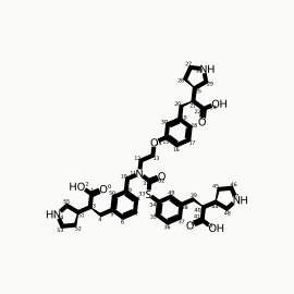 O=C(O)[C@@H](Cc1cccc(CN(CCOc2cccc(C[C@H](C(=O)O)[C@H]3CCNC3)c2)C(=O)Sc2cccc(C[C@H](C(=O)O)[C@H]3CCNC3)c2)c1)[C@H]1CCNC1